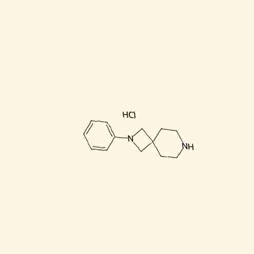 Cl.c1ccc(N2CC3(CCNCC3)C2)cc1